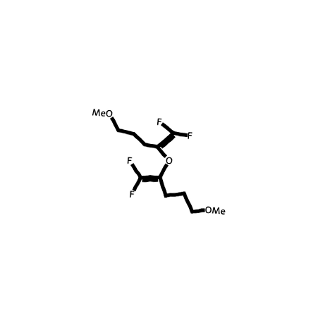 COCCCC(OC(CCCOC)=C(F)F)=C(F)F